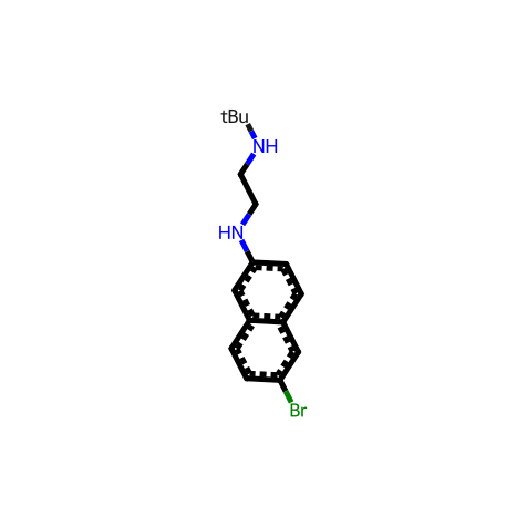 CC(C)(C)NCCNc1ccc2cc(Br)ccc2c1